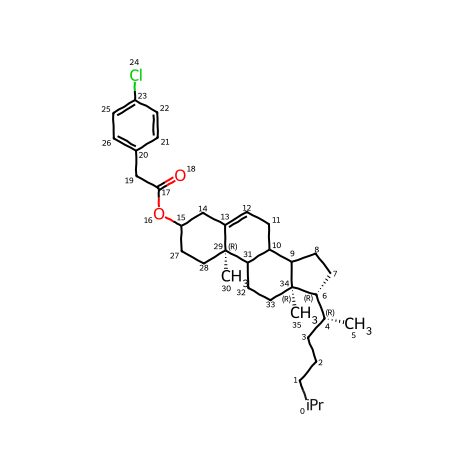 CC(C)CCC[C@@H](C)[C@H]1CCC2C3CC=C4CC(OC(=O)Cc5ccc(Cl)cc5)CC[C@]4(C)C3CC[C@@]21C